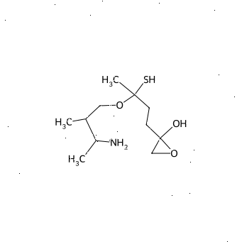 CC(N)C(C)COC(C)(S)CCC1(O)CO1